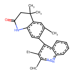 CCc1c(C=O)nc2ccccc2c1-c1cc2c(cc1C)C(C)(C)CC(=O)N2